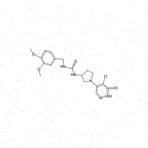 COc1ccc(CNC(=O)NC2CCN(c3cn[nH]c(=O)c3Cl)C2)cc1OC